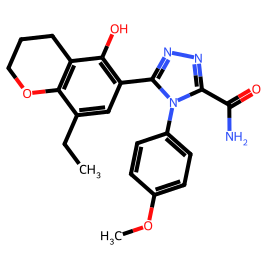 CCc1cc(-c2nnc(C(N)=O)n2-c2ccc(OC)cc2)c(O)c2c1OCCC2